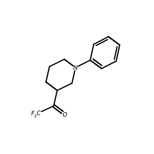 O=C(C1CCCN(c2ccccc2)C1)C(F)(F)F